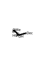 CCCCCCCCCCCCCCCC[C@H](O)[C@H](CO)OCCCCC(=O)OC